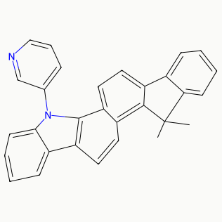 CC1(C)c2ccccc2-c2ccc3c(ccc4c5ccccc5n(-c5cccnc5)c34)c21